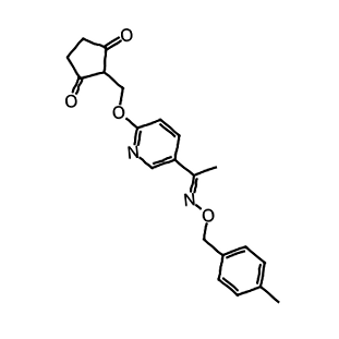 C/C(=N\OCc1ccc(C)cc1)c1ccc(OCC2C(=O)CCC2=O)nc1